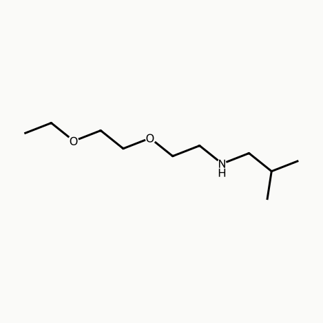 CCOCCOCCNCC(C)C